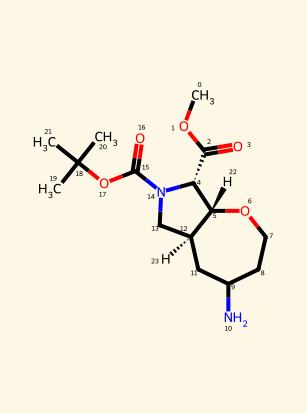 COC(=O)[C@@H]1[C@@H]2OCCC(N)C[C@H]2CN1C(=O)OC(C)(C)C